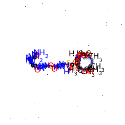 CO[C@H]1CC2CC[C@@H](C)C(O2)C(=O)C(=O)N2CCCC[C@H]2C(=O)O[C@H](CC[C@H]2CC[C@H](OC(=S)NCc3cnc(N4CCN(C(=O)CCOCCN5CCN(c6ncc(C(=O)N7CCc8cc(Cn9nc(-c%10ccc%11oc(N)nc%11c%10)c%10c(N)ncnc%109)ccc8C7)cn6)CC5)CC4)nc3)CC2)C[C@@H](O)[C@H](C)/C=C(\C)[C@@H](O)CC(=O)[C@H](C)C[C@H](C)/C=C/C=C/C=C/1C